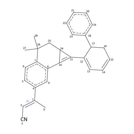 C/C(=C\C#N)c1ccc2c(c1)C1=C(C3=CC=CCC3c3ccccc3)C1CC2(C)C